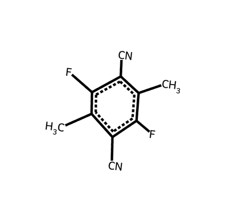 Cc1c(F)c(C#N)c(C)c(F)c1C#N